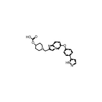 O=C(O)OC1CCN(Cc2cn3cc(Oc4ccc(-c5ccn[nH]5)cc4)ccc3n2)CC1